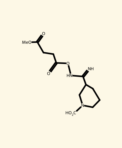 COC(=O)CCC(=O)ONC(=N)C1CCCN(C(=O)O)C1